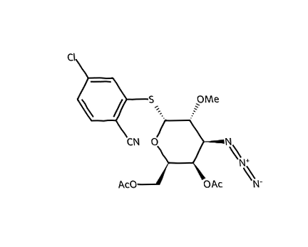 CO[C@@H]1[C@@H](N=[N+]=[N-])[C@@H](OC(C)=O)[C@@H](COC(C)=O)O[C@@H]1Sc1cc(Cl)ccc1C#N